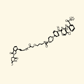 CNC(=O)c1ccccc1Nc1nc(Nc2ccc(N3CCN(C(=O)NCCCOCC(=O)COCC#Cc4cccc5c4CN(C4CCC(=O)NC4=O)C5=O)CC3)cc2)ncc1Cl